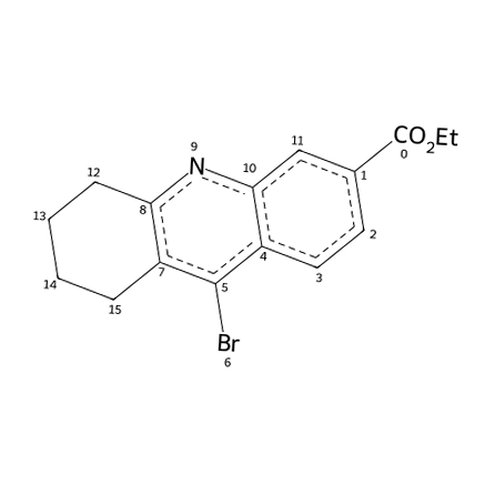 CCOC(=O)c1ccc2c(Br)c3c(nc2c1)CCCC3